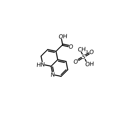 CS(=O)(=O)O.O=C(O)C1=CCNc2ncccc21